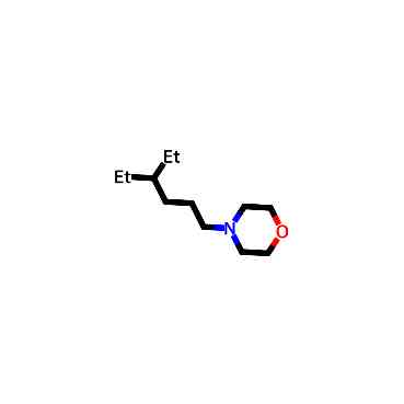 CCC(CC)CCCN1CCOCC1